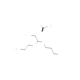 CC(=O)O.CCCCOC(CO)OCCO